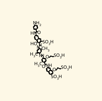 Cc1cc(N=Nc2c(S(=O)(=O)O)cc3cc(NC(=O)c4ccc(N)cc4)ccc3c2O)c(C)cc1N=Nc1cc(C)c(C(=O)Nc2ccc3cc(S(=O)(=O)O)cc(OCCCS(=O)(=O)O)c3c2)cc1OCCCS(=O)(=O)O